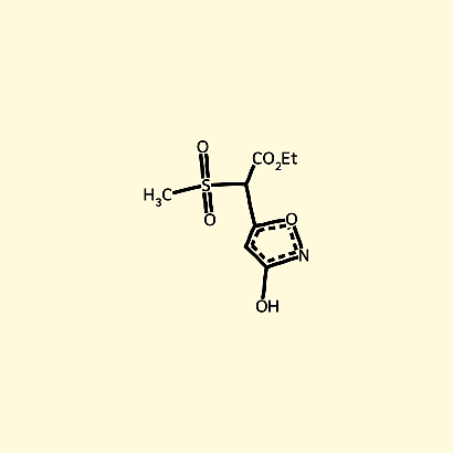 CCOC(=O)C(c1cc(O)no1)S(C)(=O)=O